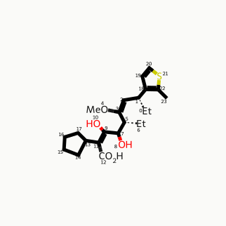 CC[C@H](/C=C(/OC)[C@H](CC)C(O)C(O)=C(C(=O)O)C1CCCC1)c1ccsc1C